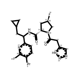 CC(C)c1ccc(C(CC2CC2)NC(=O)[C@@H]2C[C@@H](F)CN2C(=O)Cc2cnn[nH]2)nc1F